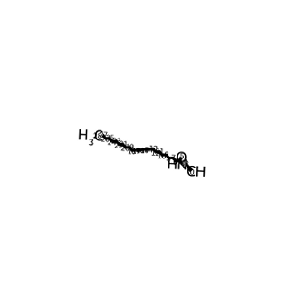 C#CCNC(=O)CCCCCCCCC#CC#CCCCCCCCCCCC